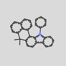 CC1(C)c2ccc3c4ccccc4n(-c4ccccc4)c3c2-c2cccc3cccc1c23